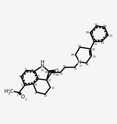 CC(=O)c1ccc2c3c1CCCC3(CCCCN1CC=C(c3ccccc3)CC1)C(=O)N2